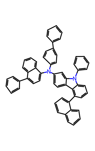 c1ccc(-c2ccc(N(c3ccc4c5c(-c6cccc7ccccc67)cccc5n(-c5ccccc5)c4c3)c3ccc(-c4ccccc4)c4ccccc34)cc2)cc1